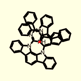 c1ccc(C2=NC(c3ccccc3)NC(n3c4ccccc4c4ccc5c6ccccc6n(-c6cc(-c7ccccc7)c7c8ccccc8n(-c8ccccc8)c7c6)c5c43)=N2)cc1